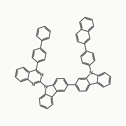 c1ccc(-c2ccc(-c3nc(-n4c5ccccc5c5cc(-c6ccc7c8ccccc8n(-c8ccc(-c9ccc%10ccccc%10c9)cc8)c7c6)ccc54)nc4ccccc34)cc2)cc1